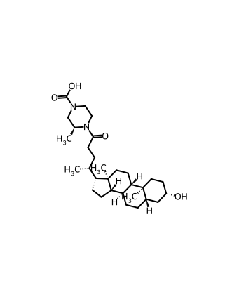 C[C@H](CCC(=O)N1CCN(C(=O)O)C[C@@H]1C)[C@H]1CC[C@H]2[C@@H]3CC[C@H]4C[C@@H](O)CC[C@]4(C)[C@H]3CC[C@]12C